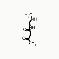 CNCNC(=O)CC(C)=O